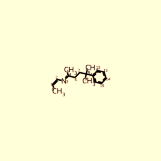 C/C=C\N=C(/C)CCC(C)(C)c1ccccc1